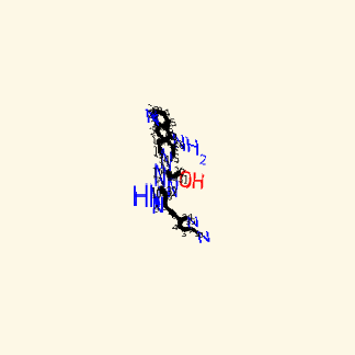 N#Cc1ccc(C#Cc2n[nH]c3nc(N4CCC5(CC4)Cc4ncccc4[C@H]5N)c(CO)nc23)cn1